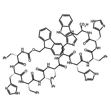 CC(C)C[C@H](NC(=O)OCC1c2ccccc2-c2ccccc21)C(=O)N[C@@H](Cc1c[nH]cn1)C(=O)N[C@@H](CC(C)C)C(=O)N[C@@H](CC(C)C)C(=O)N[C@@H](CC(C)C)C(=O)N[C@@H](Cc1c[nH]cn1)C(=O)N[C@@H](Cc1c[nH]cn1)C(=O)N[C@@H](CC(C)C)C(=O)N[C@@H](Cc1c[nH]cn1)C(=O)N[C@@H](Cc1c[nH]c2ccccc12)C(=O)O